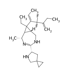 C=C(CC)C(F)(F)C(=CC)C1(CC)C2[C@H]1CNC([C@@H]1CC3(CC3)CN1)=N[C@@H]2C